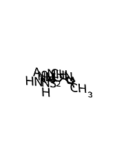 CC(=O)NC(Cc1sc(NC(=N)N)nc1C)c1cc(C)ccn1